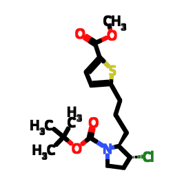 COC(=O)c1ccc(CCC[C@H]2[C@H](Cl)CCN2C(=O)OC(C)(C)C)s1